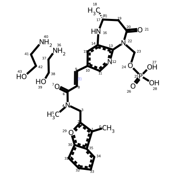 Cc1c(CN(C)C(=O)/C=C/c2cnc3c(c2)N[C@H](C)CC(=O)N3COP(=O)(O)O)oc2ccccc12.NCCO.NCCO